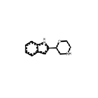 c1ccc2[nH]c(C3CNCCO3)cc2c1